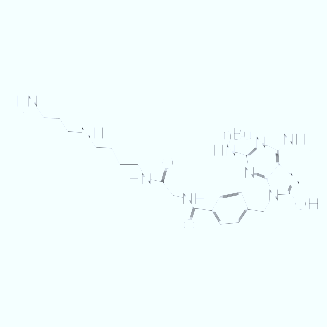 CCCCNc1nc(N)c2nc(O)n(Cc3ccc(C(=O)NCC(=O)NCCCCNCCCN)cc3)c2n1